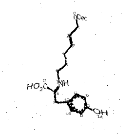 CCCCCCCCCCCCCCCCN[C@@H](Cc1ccc(O)cc1)C(=O)O